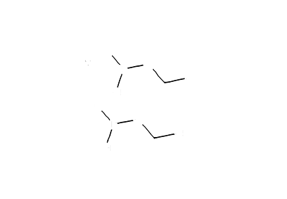 CCOP(O)O.CCOP(O)O.[Mg]